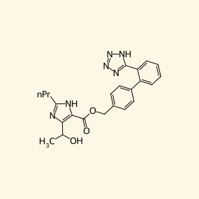 CCCc1nc(C(C)O)c(C(=O)OCc2ccc(-c3ccccc3-c3nnn[nH]3)cc2)[nH]1